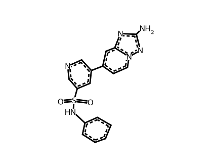 Nc1nc2cc(-c3cncc(S(=O)(=O)Nc4ccccc4)c3)ccn2n1